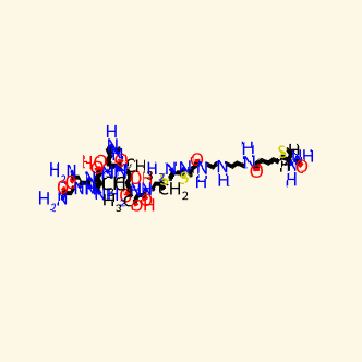 C=C(CCNC(=O)[C@@H](NC(=O)[C@@H](C)[C@H](O)[C@@H](C)NC(=O)[C@@H](NC(=O)c1nc([C@H](CC(N)=O)NCCC(N)=O)nc(N)c1C)[C@@H](O)c1c[nH]cn1)[C@@H](C)O)S/C=C(\N)c1nc(C(=O)NCCCNCCCCNC(=O)CCCC[C@@H]2SC[C@@H]3NC(=O)N[C@@H]32)cs1